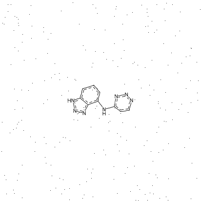 c1cc(Nc2ccnnn2)c2nn[nH]c2c1